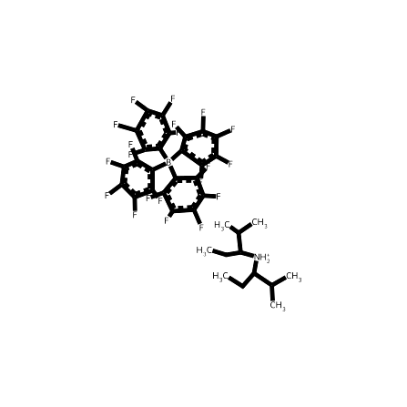 CCC([NH2+]C(CC)C(C)C)C(C)C.Fc1c(F)c(F)c([B-](c2c(F)c(F)c(F)c(F)c2F)(c2c(F)c(F)c(F)c(F)c2F)c2c(F)c(F)c(F)c(F)c2F)c(F)c1F